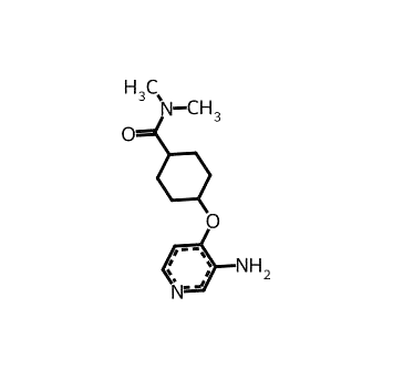 CN(C)C(=O)C1CCC(Oc2ccncc2N)CC1